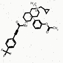 CC(=O)Oc1cccc([C@@]23CC[N@+](C)(CC4CC4)CC2CC[C@@H](NC(=O)C#Cc2ccc(C(F)(F)F)cc2)C3)c1